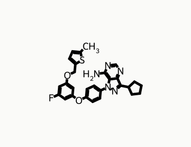 Cc1ccc(COc2cc(F)cc(Oc3ccc(-n4nc(C5CCCC5)c5ncnc(N)c54)cc3)c2)s1